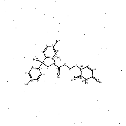 CN(CC(O)(c1ccc(F)cc1)c1ccc(F)cc1)C(=O)CCCn1ccc(=O)[nH]c1=O